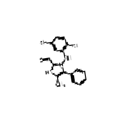 CC1=C(c2ccccc2)N(Nc2cc(Cl)ccc2Cl)C(C=S)N1